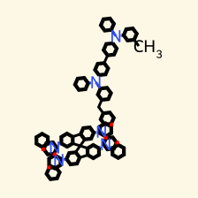 Cc1cccc(N(c2ccccc2)c2ccc(-c3ccc(N(c4ccccc4)c4cccc(Cc5cccc(N(c6ccccc6)c6ccc7c(c6)C6(c8cc(N(c9ccccc9)c9ccccc9)ccc8-c8ccc(N(c9ccccc9)c9ccccc9)cc86)c6cc(N(c8ccccc8)c8ccccc8)ccc6-7)c5)c4)cc3)cc2)c1